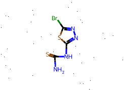 NC(=S)Nc1nnc(Br)s1